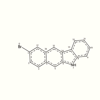 Brc1ccc2cc3[nH]c4ccccc4c3cc2c1